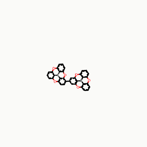 c1cc2c3c(c1)Oc1cc(-c4ccc5c6c4Oc4cccc7c4B6c4c(cccc4O5)O7)cc4c1B3c1c(cccc1O4)O2